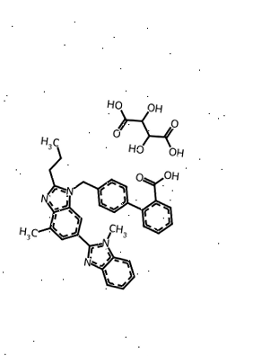 CCCc1nc2c(C)cc(-c3nc4ccccc4n3C)cc2n1Cc1ccc(-c2ccccc2C(=O)O)cc1.O=C(O)C(O)C(O)C(=O)O